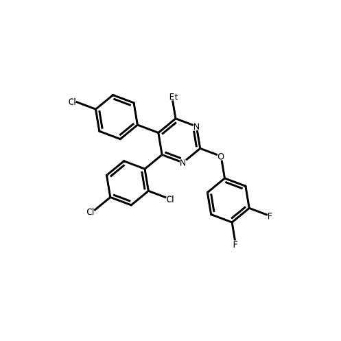 CCc1nc(Oc2ccc(F)c(F)c2)nc(-c2ccc(Cl)cc2Cl)c1-c1ccc(Cl)cc1